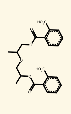 CC(COC(=O)c1ccccc1C(=O)O)OCC(C)OC(=O)c1ccccc1C(=O)O